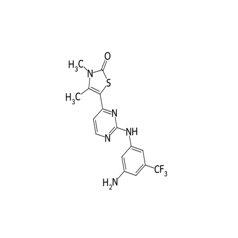 Cc1c(-c2ccnc(Nc3cc(N)cc(C(F)(F)F)c3)n2)sc(=O)n1C